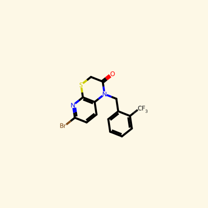 O=C1CSc2nc(Br)ccc2N1Cc1ccccc1C(F)(F)F